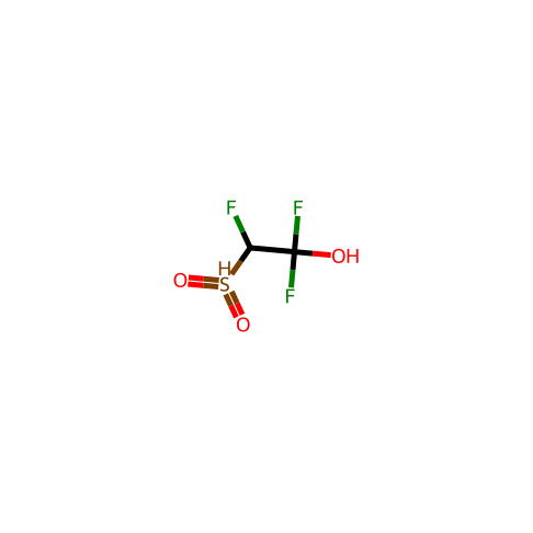 O=[SH](=O)C(F)C(O)(F)F